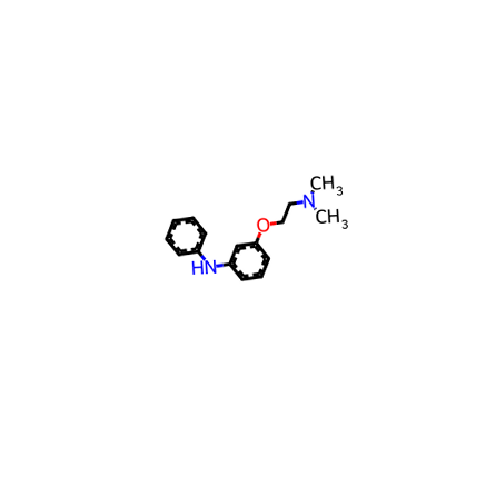 CN(C)CCOc1cccc(Nc2ccccc2)c1